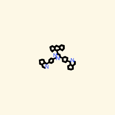 c1ccc2c(-c3ccc(-c4cc(-c5c6ccccc6cc6ccccc56)nc(-c5ccc(-c6nccc7ccccc67)cc5)n4)cc3)nccc2c1